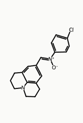 [O-][N+](=Cc1cc2c3c(c1)CCCN3CCC2)c1ccc(Cl)cc1